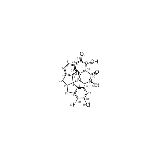 CCN1CN(C23c4ccccc4CC2Cc2c3ccc(Cl)c2F)n2ccc(=O)c(O)c2C1=O